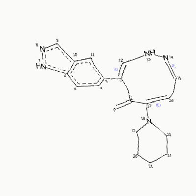 C=C1/C(c2ccc3[nH]ncc3c2)=C\N/N=C\C=C/1N1CCCCC1